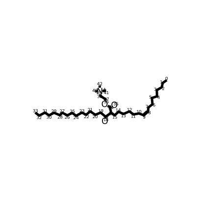 CCCCCCCC/C=C\CCCCCCC(C(=O)CCCCCCCCCCCCCCC)C(=O)OCC[N+](C)(C)C